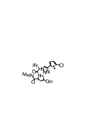 CNC(=O)[C@@H]1C[C@@H](O)CN1C(=O)C(C(C)C)n1cc(-c2ccc(Cl)s2)nn1